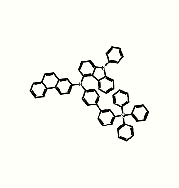 c1ccc(-n2c3ccccc3c3c(N(c4ccc(-c5cccc([Si](c6ccccc6)(c6ccccc6)c6ccccc6)c5)cc4)c4ccc5c(ccc6ccccc65)c4)cccc32)cc1